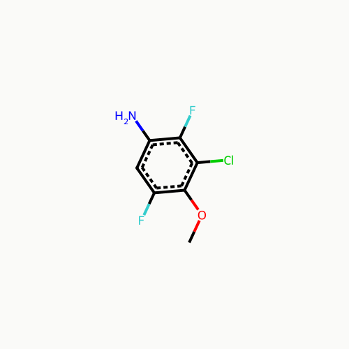 COc1c(F)cc(N)c(F)c1Cl